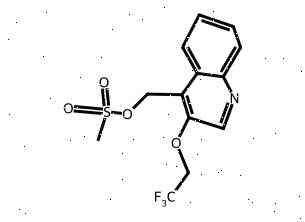 CS(=O)(=O)OCc1c(OCC(F)(F)F)cnc2ccccc12